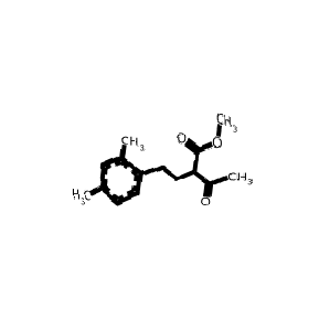 COC(=O)C(CCc1ccc(C)cc1C)C(C)=O